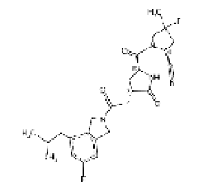 CC(C)Cc1cc(F)cc2c1CN(C(=O)C[C@@H]1C[C@@H](C(=O)N3CC(C)(F)C[C@H]3C#N)NC1=O)C2